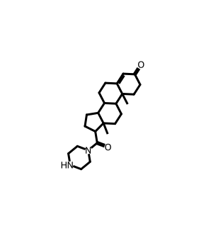 CC12CCC(=O)C=C1CCC1C2CCC2(C)C(C(=O)N3CCNCC3)CCC12